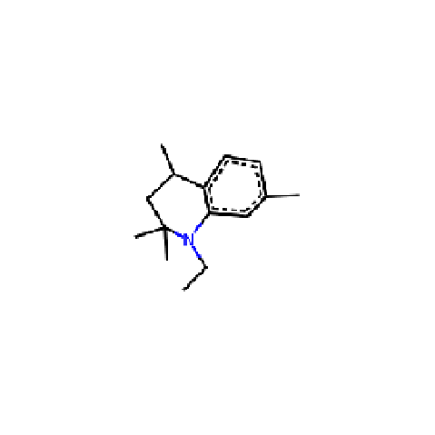 CCN1c2cc(C)ccc2C(C)CC1(C)C